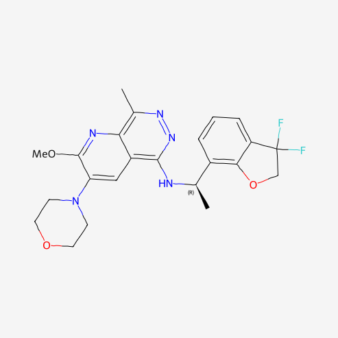 COc1nc2c(C)nnc(N[C@H](C)c3cccc4c3OCC4(F)F)c2cc1N1CCOCC1